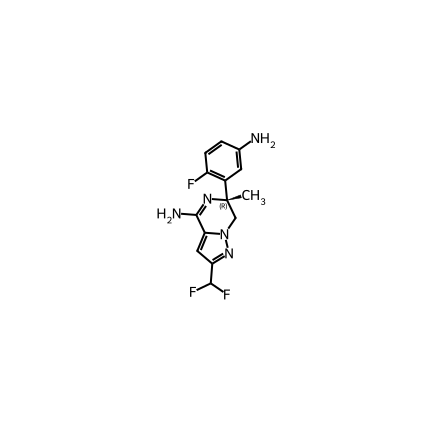 C[C@@]1(c2cc(N)ccc2F)Cn2nc(C(F)F)cc2C(N)=N1